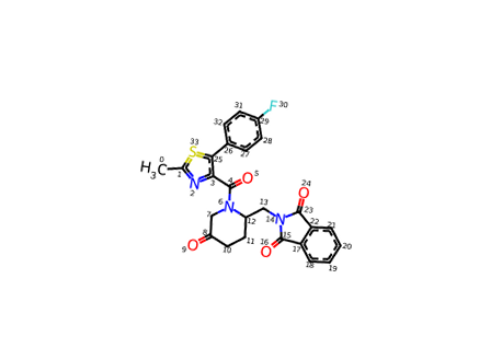 Cc1nc(C(=O)N2CC(=O)CCC2CN2C(=O)c3ccccc3C2=O)c(-c2ccc(F)cc2)s1